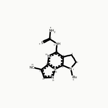 CCC(C)N1CCc2c(NC(N)=S)nc3c(C#N)cnn3c21